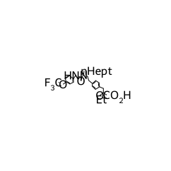 CCCCCCCN(CCc1ccc(C[C@H](OCC)C(=O)O)cc1)C(=O)Nc1ccc(OC(F)(F)F)cc1